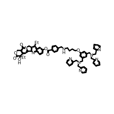 CCc1c2c(nc3ccc(OC(=O)c4ccc(CNCCCCOc5cc(CN(Cc6ccccn6)Cc6ccccn6)cc(CN(Cc6ccccn6)Cc6ccccn6)c5)cc4)cc13)-c1cc3c(c(=O)n1C2)COC(=O)[C@@]3(O)CC